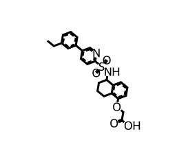 CCc1cccc(-c2ccc(S(=O)(=O)NC3CCCc4c(OCC(=O)O)cccc43)nc2)c1